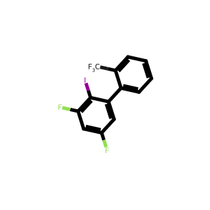 Fc1cc(F)c(I)c(-c2ccccc2C(F)(F)F)c1